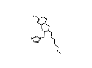 CCCCCCCC(CCn1ccnc1)Sc1ccc(Cl)cc1Cl